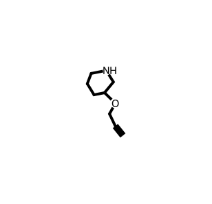 C#CCOC1CCCNC1